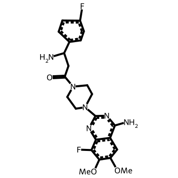 COc1cc2c(N)nc(N3CCN(C(=O)CC(N)c4ccc(F)cc4)CC3)nc2c(F)c1OC